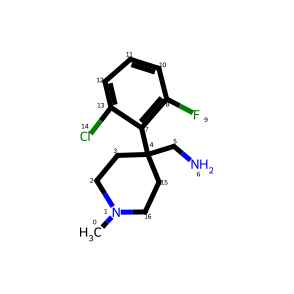 CN1CCC(CN)(c2c(F)cccc2Cl)CC1